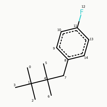 CC(C)(C)C(C)(C)Cc1ccc(F)cc1